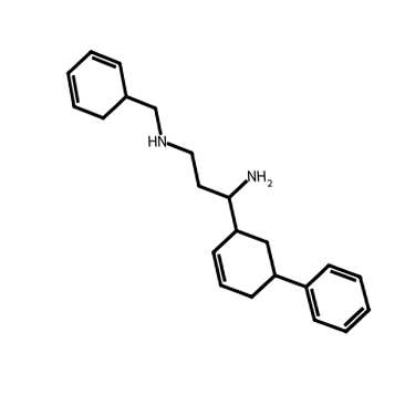 NC(CCNCC1C=CC=CC1)C1C=CCC(c2ccccc2)C1